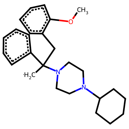 [CH2]C(Cc1ccccc1OC)(c1ccccc1)N1CCN(C2CCCCC2)CC1